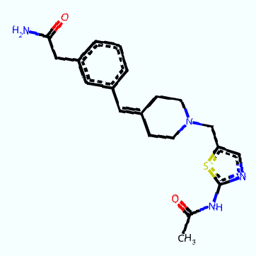 CC(=O)Nc1ncc(CN2CCC(=Cc3cccc(CC(N)=O)c3)CC2)s1